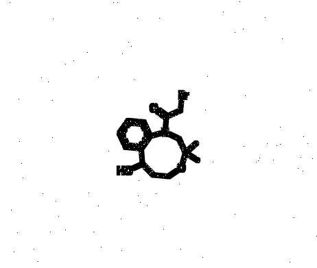 CC1(C)CN(C(=O)CBr)c2ccccc2C(O)CCO1